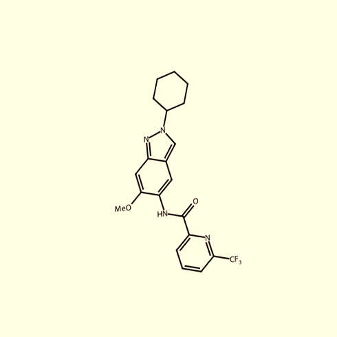 COc1cc2nn(C3CCCCC3)cc2cc1NC(=O)c1cccc(C(F)(F)F)n1